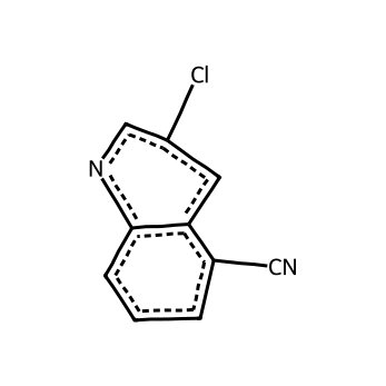 N#Cc1cccc2ncc(Cl)cc12